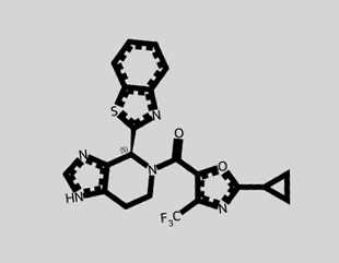 O=C(c1oc(C2CC2)nc1C(F)(F)F)N1CCc2[nH]cnc2[C@H]1c1nc2ccccc2s1